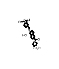 CCOC(=O)C1CCN(C(Cl)C2=Cc3ccc(OCc4ccc5c(c4)c(Cl)nn5C(C)C)cc3CC2)CC1.Cl